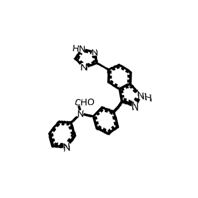 O=CN(c1cccnc1)c1cccc(-c2n[nH]c3ccc(-c4nc[nH]n4)cc23)c1